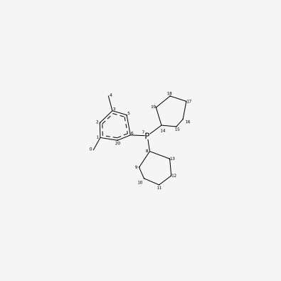 Cc1cc(C)cc(P(C2CCCCC2)C2CCCCC2)c1